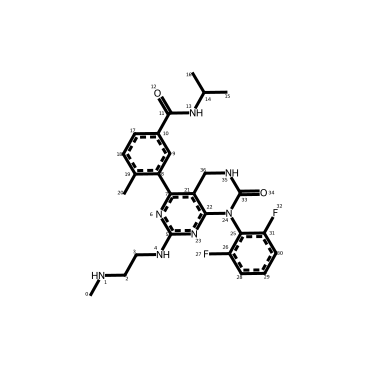 CNCCNc1nc(-c2cc(C(=O)NC(C)C)ccc2C)c2c(n1)N(c1c(F)cccc1F)C(=O)NC2